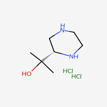 CC(C)(O)[C@@H]1CNCCN1.Cl.Cl